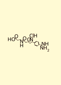 CN1O[C@H](CC(=O)NCCC(=O)O)C[C@@H]1c1ccc(C(=N)N)cc1.Cl